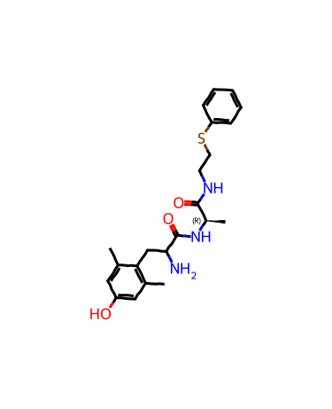 Cc1cc(O)cc(C)c1CC(N)C(=O)N[C@H](C)C(=O)NCCSc1ccccc1